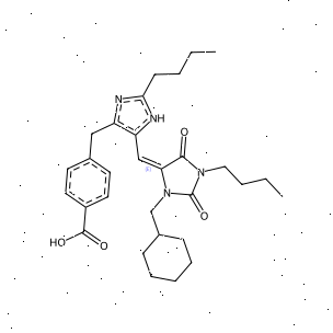 CCCCc1nc(Cc2ccc(C(=O)O)cc2)c(/C=C2\C(=O)N(CCCC)C(=O)N2CC2CCCCC2)[nH]1